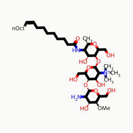 CCCCCCCC/C=C\CCCCCCCC(=O)NC1[C@H](C)OC(CO)[C@@H](O[C@@H]2OC(CO)[C@@H](O[C@@H]3OC(CO)[C@@H](OC)[C@H](O)C3N)[C@H](O)C2[N+](C)(C)C)[C@@H]1O